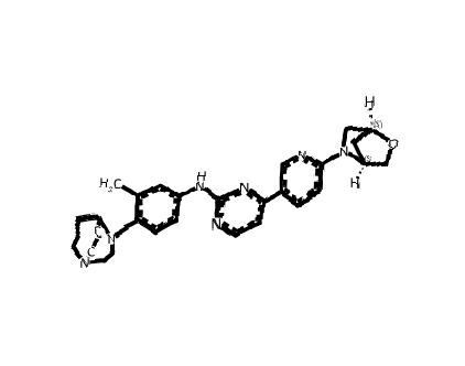 Cc1cc(Nc2nccc(-c3ccc(N4C[C@@H]5C[C@H]4CO5)nc3)n2)ccc1N1CCN2CCC1CC2